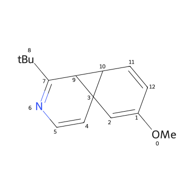 COC1=CC23C=CN=C(C(C)(C)C)C2C3C=C1